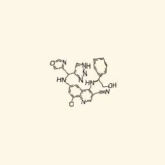 N#Cc1cnc2c(Cl)cc(NC(c3cocn3)c3c[nH]nn3)cc2c1NC(CO)c1ccccc1